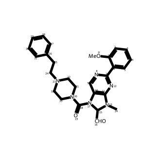 COc1ccccc1-c1ncc2c(n1)N(C)C(C=O)N2C(=O)N1CCN(CCc2ccccc2)CC1